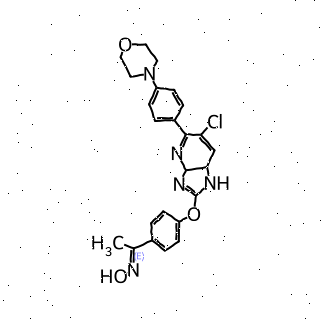 C/C(=N\O)c1ccc(OC2=NC3N=C(c4ccc(N5CCOCC5)cc4)C(Cl)=CC3N2)cc1